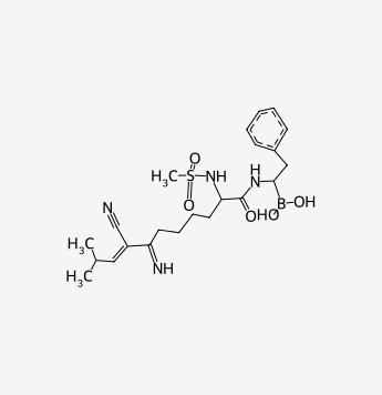 CC(C)C=C(C#N)C(=N)CCCCC(NS(C)(=O)=O)C(=O)NC(Cc1ccccc1)B(O)O